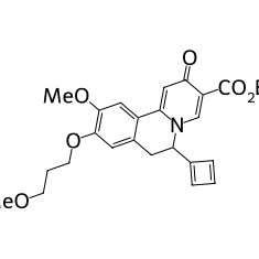 CCOC(=O)c1cn2c(cc1=O)-c1cc(OC)c(OCCCOC)cc1CC2C1=CC=C1